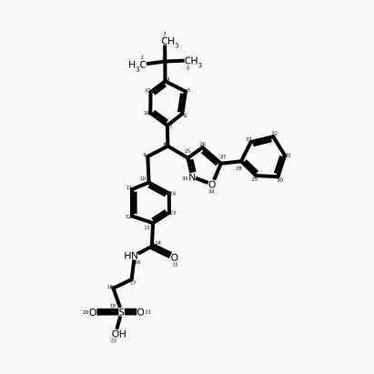 CC(C)(C)c1ccc(C(Cc2ccc(C(=O)NCCS(=O)(=O)O)cc2)c2cc(-c3ccccc3)on2)cc1